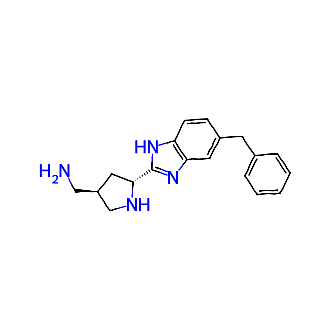 NC[C@@H]1CN[C@@H](c2nc3cc(Cc4ccccc4)ccc3[nH]2)C1